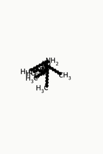 CCCCCCCCCCN(CC(N)=O)C(=O)CN(CCCCCCCCCC)C(=O)CN(CCCCCCCCCC)C(=O)CN(CCCOC)C(=O)CNCCCO